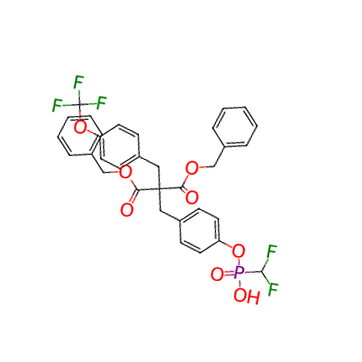 O=C(OCc1ccccc1)C(Cc1ccc(OC(F)(F)F)cc1)(Cc1ccc(OP(=O)(O)C(F)F)cc1)C(=O)OCc1ccccc1